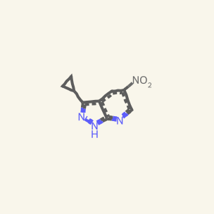 O=[N+]([O-])c1cnc2[nH]nc(C3CC3)c2c1